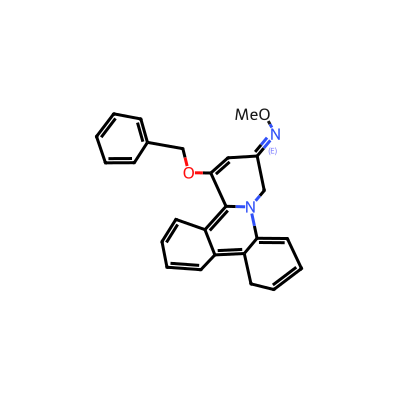 CO/N=C1\C=C(OCc2ccccc2)C2=c3ccccc3=C3CC=CC=C3N2C1